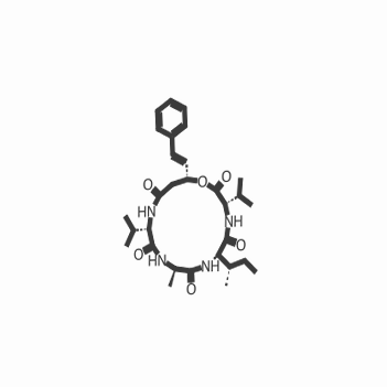 CC[C@H](C)[C@@H]1NC(=O)[C@@H](C)NC(=O)[C@H](C(C)C)NC(=O)C[C@H](/C=C/c2ccccc2)OC(=O)[C@H](C(C)C)NC1=O